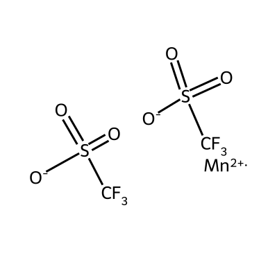 O=S(=O)([O-])C(F)(F)F.O=S(=O)([O-])C(F)(F)F.[Mn+2]